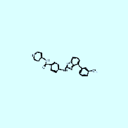 O=C(NC1CCNCC1)c1ccc(Nc2nc3c(-c4cccc(C(F)(F)F)c4)cccn3n2)cc1